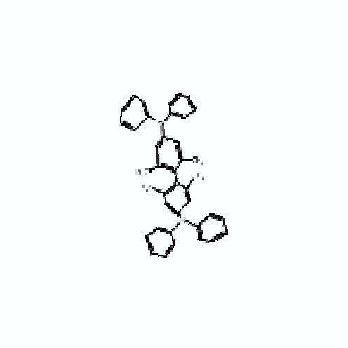 Cc1cc(N(c2ccccc2)c2ccccc2)cc(C)c1-c1c(C)cc(N(c2ccccc2)c2ccccc2)cc1C